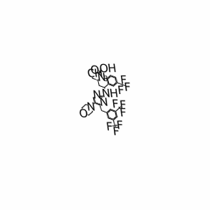 CC[C@@H]1C[C@H](Nc2ncc(N3CCOCC3)c(Cc3cc(C(F)(F)F)cc(C(F)(F)F)c3)n2)c2cc(C(F)(F)F)ccc2N1C(=O)O